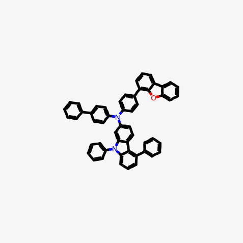 c1ccc(-c2ccc(N(c3ccc(-c4cccc5c4oc4ccccc45)cc3)c3ccc4c5c(-c6ccccc6)cccc5n(-c5ccccc5)c4c3)cc2)cc1